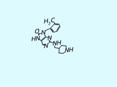 Cc1ccccc1Cn1c(=O)[nH]c2cnc(NCC3CCNCC3)nc21